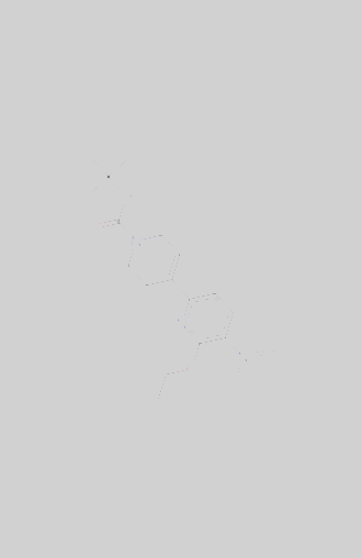 CCOc1nc(C2=CCN(C(=O)OC(C)(C)C)CC2)ccc1[N+](=O)[O-]